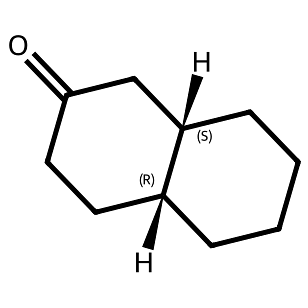 O=C1CC[C@H]2CCCC[C@H]2C1